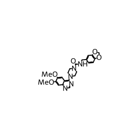 COc1cc2ncnc(N3CCN(C(=O)NCc4ccc5c(c4)OCO5)CC3)c2cc1OC